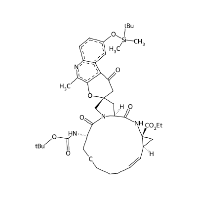 CCOC(=O)[C@@]12C[C@H]1/C=C\CCCCC[C@H](NC(=O)OC(C)(C)C)C(=O)N1C[C@@]3(CC(=O)c4c(c(C)nc5ccc(O[Si](C)(C)C(C)(C)C)cc45)O3)C[C@H]1C(=O)N2